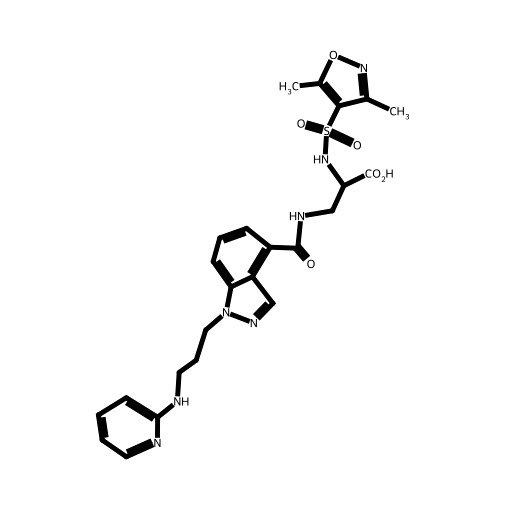 Cc1noc(C)c1S(=O)(=O)NC(CNC(=O)c1cccc2c1cnn2CCCNc1ccccn1)C(=O)O